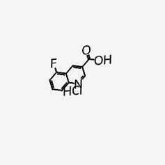 Cl.O=C(O)c1cnc2cccc(F)c2c1